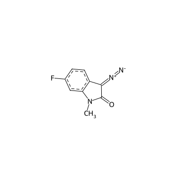 CN1C(=O)C(=[N+]=[N-])c2ccc(F)cc21